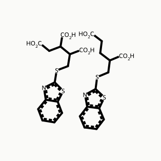 O=C(O)CC(C(=O)O)C(CSc1nc2ccccc2s1)C(=O)O.O=C(O)CCC(CSc1nc2ccccc2s1)C(=O)O